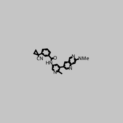 CNc1cc2ncc(-c3cc(NC(=O)c4cccc(C5(C#N)CC5)c4)cnc3C)cc2cn1